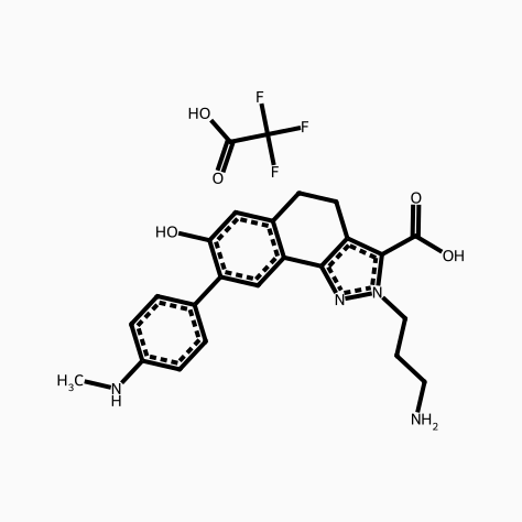 CNc1ccc(-c2cc3c(cc2O)CCc2c-3nn(CCCN)c2C(=O)O)cc1.O=C(O)C(F)(F)F